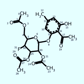 CC(=O)OCC1OC(Oc2cc(C)cc(O)c2C(C)=O)C(OC(C)=O)C(OC(C)=O)C1F